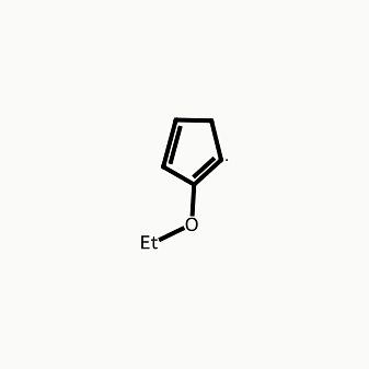 CCOC1=[C]CC=C1